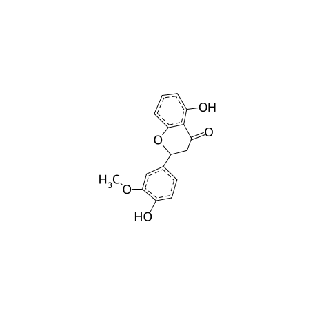 COc1cc(C2CC(=O)c3c(O)cccc3O2)ccc1O